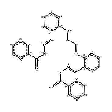 O=C(NN=Cc1ccccc1OCCOc1ccccc1C=NNC(=O)c1ccccc1)c1ccccc1